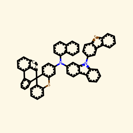 c1ccc2c(c1)Sc1cc(N(c3ccc4c5ccccc5n(-c5ccc6sc7ccccc7c6c5)c4c3)c3cccc4ccccc34)ccc1C21c2ccccc2-c2cccc3cccc1c23